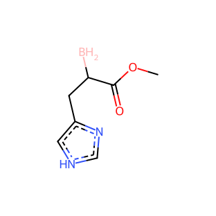 BC(Cc1c[nH]cn1)C(=O)OC